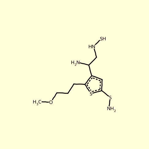 COCCCc1sc(SN)cc1C(N)CNS